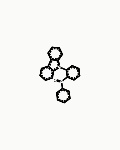 O=[P](c1ccccc1)c1ccccc1-n1c2ccccc2c2ccccc21